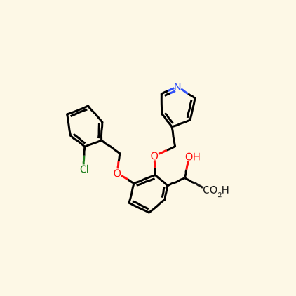 O=C(O)C(O)c1cccc(OCc2ccccc2Cl)c1OCc1ccncc1